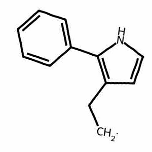 [CH2]Cc1cc[nH]c1-c1ccccc1